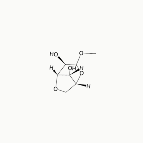 COC1O[C@@H]2CO[C@@H]([C@@H]2O)[C@H]1O